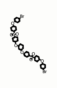 O=S(=O)(c1ccc(Oc2ccc(Br)cc2)cc1)c1ccc(Oc2cccc(Oc3ccc(S(=O)(=O)c4ccc(Oc5ccc(Br)cc5)cc4)cc3)c2)cc1